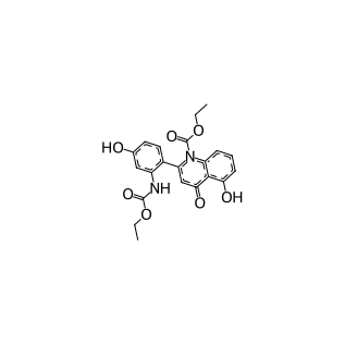 CCOC(=O)Nc1cc(O)ccc1-c1cc(=O)c2c(O)cccc2n1C(=O)OCC